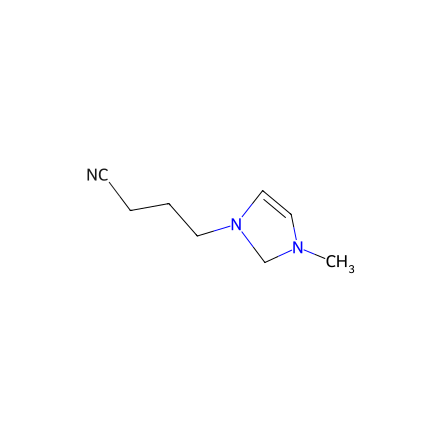 CN1C=CN(CCCC#N)C1